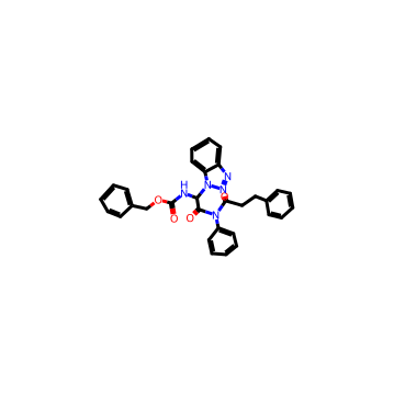 O=C(NC(C(=O)N(C(=O)CCc1ccccc1)c1ccccc1)n1nnc2ccccc21)OCc1ccccc1